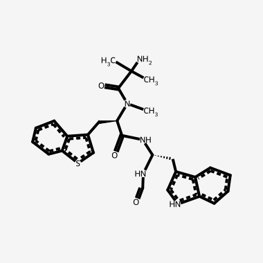 CN(C(=O)C(C)(C)N)[C@H](Cc1csc2ccccc12)C(=O)N[C@H](Cc1c[nH]c2ccccc12)NC=O